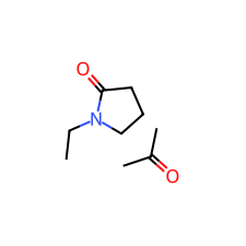 CC(C)=O.CCN1CCCC1=O